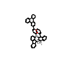 CC1(C)c2c(cccc2N(c2ccc(-c3ccc4c5ccccc5c5ccccc5c4c3)cc2)c2ccc3ccccc3c2-c2ccccc2)C2C=CC=CC21